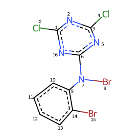 Clc1nc(Cl)nc(N(Br)c2ccccc2Br)n1